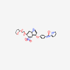 O=C(Nc1ccccn1)c1ccc(Oc2ccnc3cc(OCCOC4CCCCO4)c([N+](=O)[O-])cc23)cc1